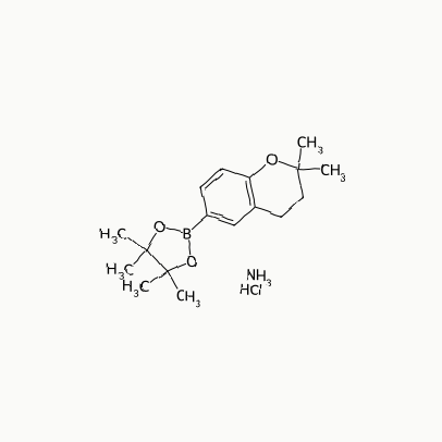 CC1(C)CCc2cc(B3OC(C)(C)C(C)(C)O3)ccc2O1.Cl.N